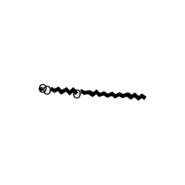 CCCC/C=C/CCCCCCCC/C=C/CCOCCCCCCCOOC